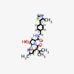 Cc1cc([C@@H](C(=O)N2C[C@H](O)C[C@H]2C(=O)NCc2ccc(-c3scnc3C)cc2)C(C)C)on1